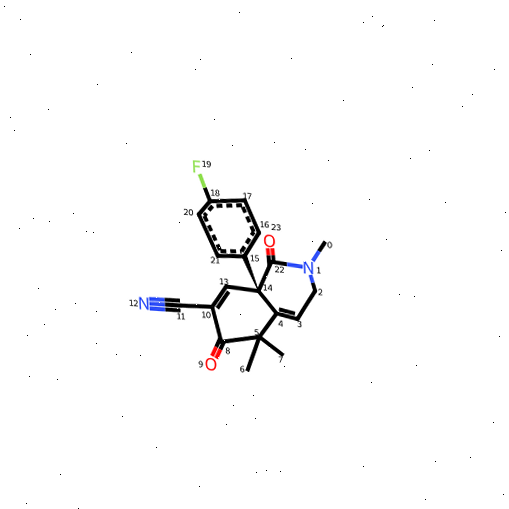 CN1CC=C2C(C)(C)C(=O)C(C#N)=C[C@]2(c2ccc(F)cc2)C1=O